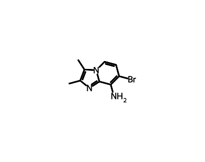 Cc1nc2c(N)c(Br)ccn2c1C